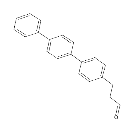 O=CCCc1ccc(-c2ccc(-c3ccccc3)cc2)cc1